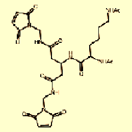 CC(=O)NCCCCC(NC(C)=O)C(=O)NC(CC(=O)NCN1C(=O)C=CC1=O)CC(=O)NCN1C(=O)C=CC1=O